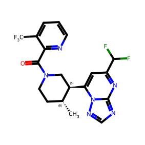 C[C@@H]1CCN(C(=O)c2ncccc2C(F)(F)F)C[C@H]1c1cc(C(F)F)nc2ncnn12